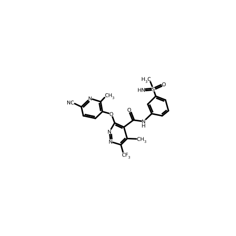 Cc1nc(C#N)ccc1Oc1nnc(C(F)(F)F)c(C)c1C(=O)Nc1cccc(S(C)(=N)=O)c1